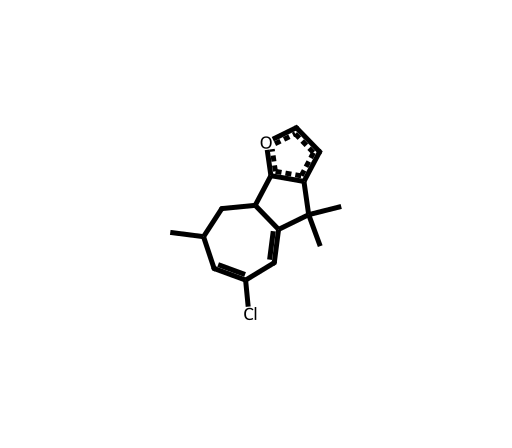 CC1C=C(Cl)C=C2C(C1)c1occc1C2(C)C